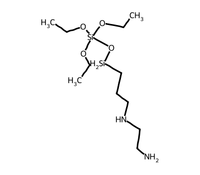 CCO[Si](OCC)(OCC)O[SiH2]CCCNCCN